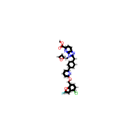 COC(=O)c1ccc2nc(CC3CC=C(c4cccc(OCc5ccc(Cl)c6cc(F)oc56)n4)CC3)n(C[C@@H]3CCO3)c2n1